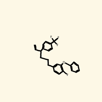 C=CC(CCCc1ccc(F)c(Oc2ccccc2)c1)c1ccc(C(F)(F)F)cc1